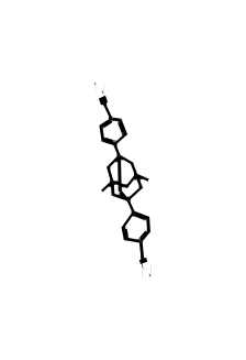 CC12CC3(C)CC(c4ccc(C#N)cc4)(C1)CC(c1ccc(C#N)cc1)(C2)C3